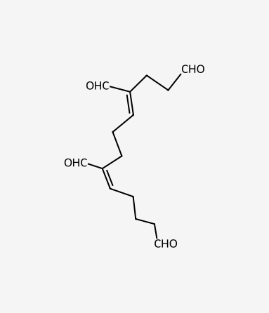 O=CCCC/C=C(/C=O)CC/C=C(\C=O)CCC=O